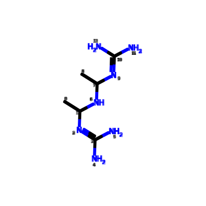 CC(N=C(N)N)NC(C)N=C(N)N